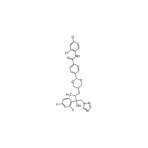 CC(SC1COC(c2ccc(C(=O)Nc3ccc(Cl)cc3Cl)cc2)OC1)C(O)(Cn1cncn1)c1ccc(F)cc1F